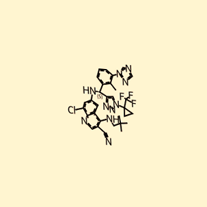 Cc1c([C@H](Nc2cc(Cl)c3ncc(C#N)c(NCC(C)(C)C)c3c2)c2cn(C3(C(F)(F)F)CC3)nn2)cccc1-n1cncn1